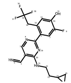 N=Cc1cnc(-c2cc(F)c(O)cc2CC(F)(F)F)nc1NCCC1CC1